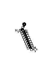 CC(C)C(Cl)C(Cl)C(Cl)C(Cl)C(Cl)C(Cl)C(Cl)C(Cl)C(Cl)C(Cl)C(Cl)C(Cl)C(Cl)C(Cl)C(Cl)C(Cl)OCC(CC(C)(C)C)OCc1ccccc1